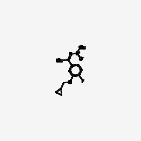 CC(C)(C)/C(=N/[S+]([O-])C(C)(C)C)c1ccc(F)c(OCC2CC2)c1